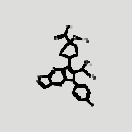 COC1(C(=O)O)CCC(c2c(C(C)C)n(-c3ccc(F)cc3)c3cc4cn[nH]c4nc23)CC1